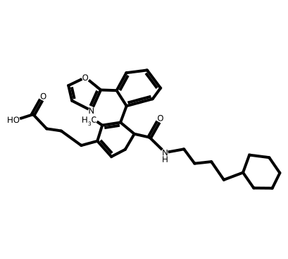 CC1=C(c2ccccc2-c2ncco2)C(C(=O)NCCCCC2CCCCC2)CC=C1CCCC(=O)O